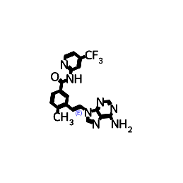 Cc1ccc(C(=O)Nc2cc(C(F)(F)F)ccn2)cc1/C=C/n1cnc2c(N)ncnc21